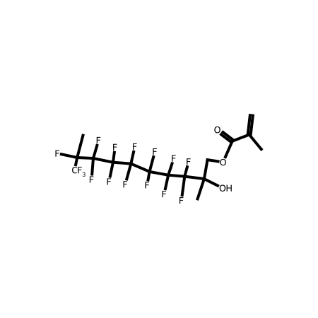 C=C(C)C(=O)OCC(C)(O)C(F)(F)C(F)(F)C(F)(F)C(F)(F)C(F)(F)C(F)(F)C(C)(F)C(F)(F)F